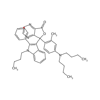 CCCCN(CCCC)c1ccc(C2(c3c(-c4ccccc4)n(CCCC)c4ccccc34)OC(=O)c3nccnc32)c(C)c1